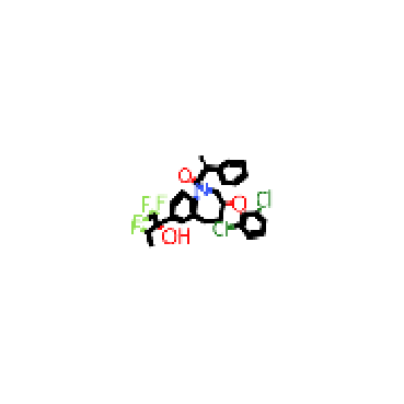 CC(F)C(O)(c1ccc2c(c1)CC[C@H](Oc1c(Cl)cccc1Cl)CN2C(=O)[C@@H](C)c1ccccc1)C(F)(F)F